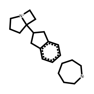 C1CCC[N]CC1.c1ccc2c(c1)CC(C13CCC[N+]1CC3)C2